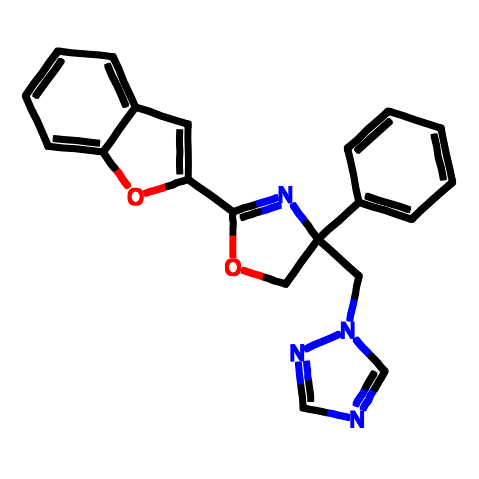 c1ccc(C2(Cn3cncn3)COC(c3cc4ccccc4o3)=N2)cc1